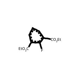 CCOC(=O)c1cccc(C(=O)OCC)c1F